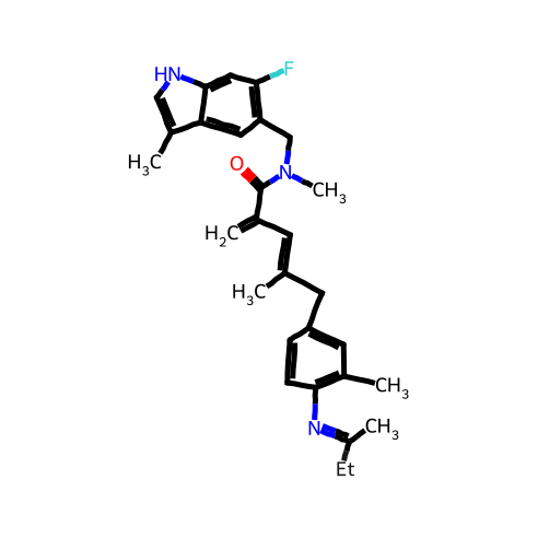 C=C(/C=C(\C)Cc1ccc(/N=C(\C)CC)c(C)c1)C(=O)N(C)Cc1cc2c(C)c[nH]c2cc1F